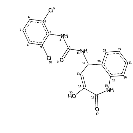 O=C(Nc1c(Cl)cccc1Cl)NC1C=C(O)C(=O)Nc2ccccc21